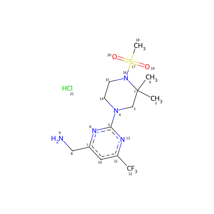 CC1(C)CN(c2nc(CN)cc(C(F)(F)F)n2)CCN1S(C)(=O)=O.Cl